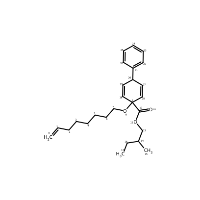 C=CCCCCCCOC1(C(=O)OCC(C)CC)C=CC(c2ccccc2)C=C1